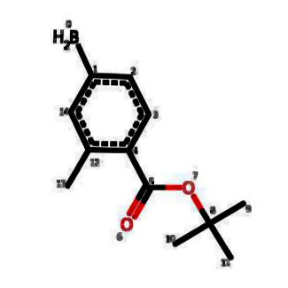 Bc1ccc(C(=O)OC(C)(C)C)c(C)c1